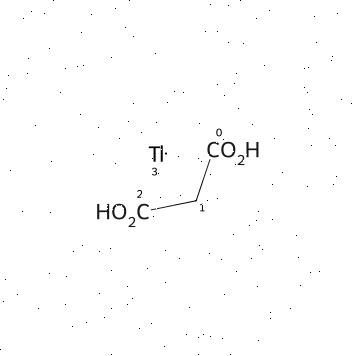 O=C(O)CC(=O)O.[Tl]